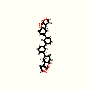 c1cc(-c2cccc(-c3ccc4oc5occc5c4c3)c2)cc(-c2ccc3oc4occc4c3c2)c1